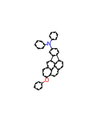 c1ccc(Oc2ccc3cc4c5c(ccc6ccc2c3c65)-c2ccc(N(c3ccccc3)c3ccccc3)cc2-4)cc1